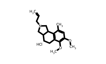 C=CCN1CC2CCc3c(OC)c(OC)cc(C)c3C2C1.Cl